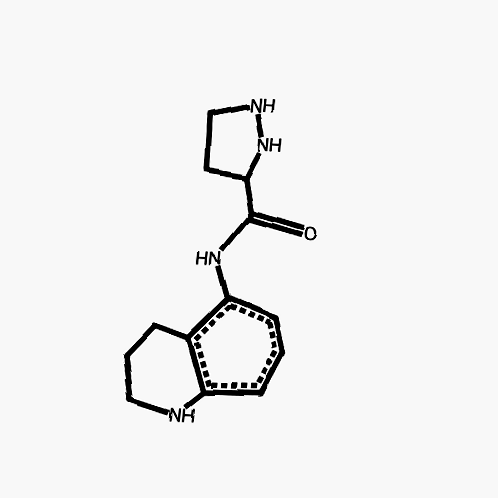 O=C(Nc1cccc2c1CCCN2)C1CCNN1